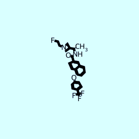 C[C@H](NC(=O)c1ccc2c(Oc3ccc(C(F)(F)F)cc3)cccc2c1)C1CN(CCF)C1